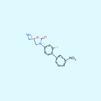 NCC1CN(c2ccc(-c3cccc([N+](=O)[O-])c3)c(F)c2)C(=O)O1